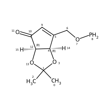 CC1(C)O[C@@H]2C(COP)=CC(=O)[C@@H]2O1